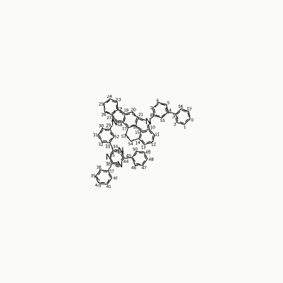 c1ccc(-c2cccc(-n3c4cccc5c4c4c(c6c(cc43)c3ccccc3n6-c3cccc(-c4nc(-c6ccccc6)nc(-c6ccccc6)n4)c3)CC5)c2)cc1